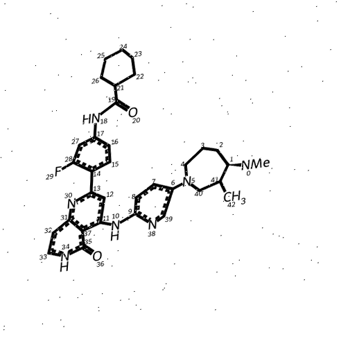 CN[C@@H]1CCCN(c2ccc(Nc3cc(-c4ccc(NC(=O)C5CCCCC5)cc4F)nc4cc[nH]c(=O)c34)nc2)CC1C